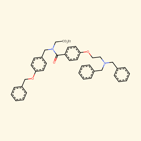 CCOC(=O)CN(Cc1ccc(OCc2ccccc2)cc1)C(=O)c1ccc(OCCN(Cc2ccccc2)Cc2ccccc2)cc1